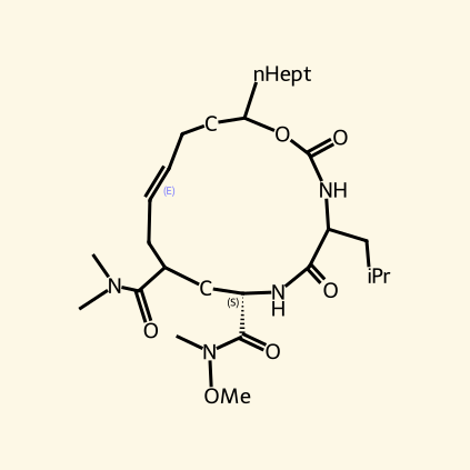 CCCCCCCC1CC/C=C/CC(C(=O)N(C)C)C[C@@H](C(=O)N(C)OC)NC(=O)C(CC(C)C)NC(=O)O1